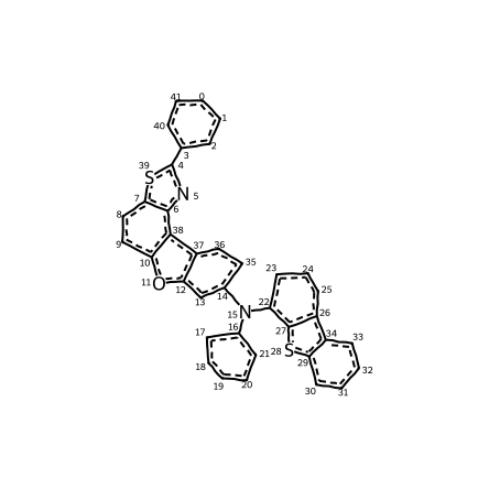 c1ccc(-c2nc3c(ccc4oc5cc(N(c6ccccc6)c6cccc7c6sc6ccccc67)ccc5c43)s2)cc1